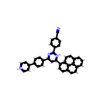 N#Cc1ccc(-c2nc(-c3ccc(-c4ccncc4)cc3)cc(-c3ccc4ccc5cccc6ccc3c4c56)n2)cc1